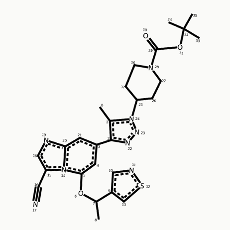 Cc1c(-c2cc(OC(C)c3cnsc3)n3c(C#N)cnc3c2)nnn1C1CCN(C(=O)OC(C)(C)C)CC1